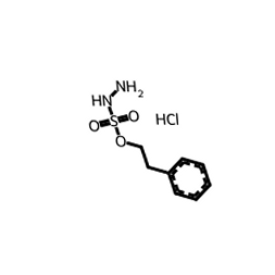 Cl.NNS(=O)(=O)OCCc1ccccc1